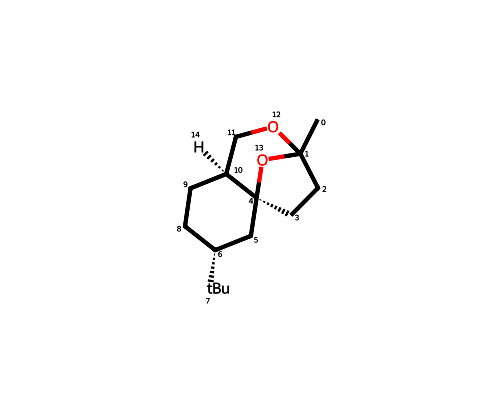 CC12CC[C@@]3(C[C@H](C(C)(C)C)CC[C@H]3CO1)O2